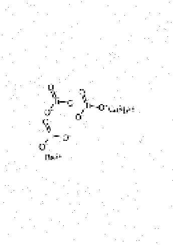 [Ba+2].[Ca+2].[O]=[Ti]([O-])[O-].[O]=[Ti]([O-])[O-].[O]=[Ti]([O-])[O-].[Pb+2]